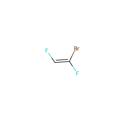 FC=C(F)Br